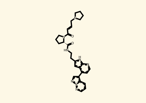 O=C(NCCc1cc2c(-c3cnn4ncccc34)ccnc2[nH]1)[C@@H]1CCCN1C(=O)/C=C/CN1CCCC1